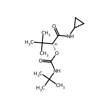 CC(C)(C)NC(=O)O[C@@H](C(=O)NC1CC1)C(C)(C)C